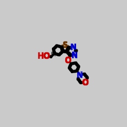 OC[C@H]1CCc2sc3ncnc(O[C@H]4CC[C@H](N5CCOCC5)CC4)c3c2C1